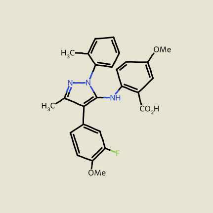 COc1ccc(Nc2c(-c3ccc(OC)c(F)c3)c(C)nn2-c2ccccc2C)c(C(=O)O)c1